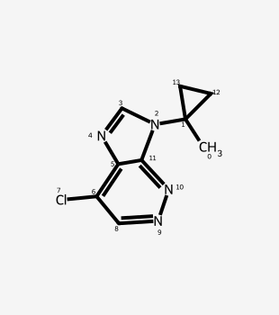 CC1(n2cnc3c(Cl)cnnc32)CC1